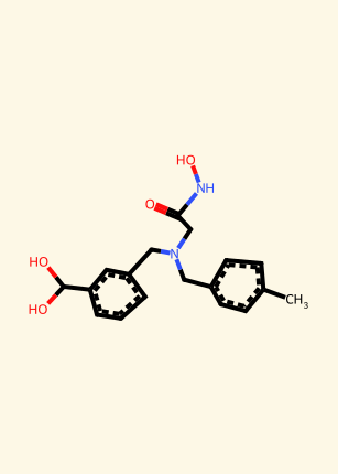 Cc1ccc(CN(CC(=O)NO)Cc2cccc(C(O)O)c2)cc1